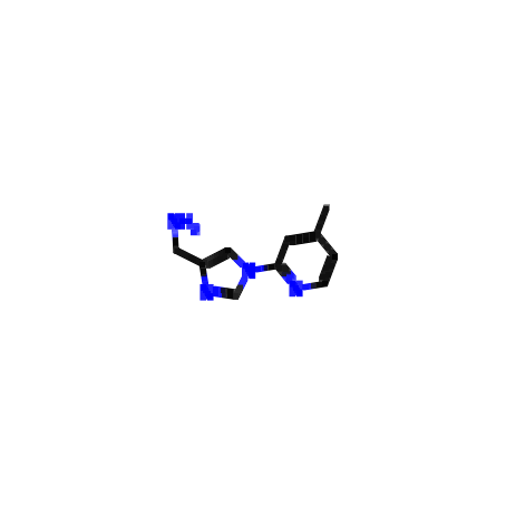 Cc1ccnc(-n2cnc(CN)c2)c1